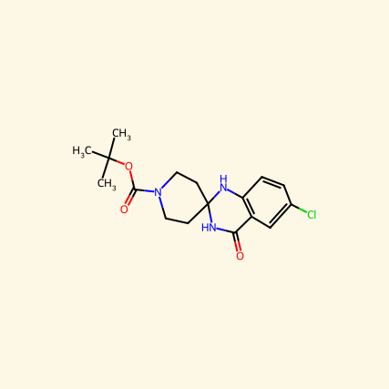 CC(C)(C)OC(=O)N1CCC2(CC1)NC(=O)c1cc(Cl)ccc1N2